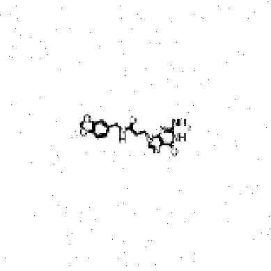 Nc1nc2c(ncn2CCC(=O)NCc2ccc3c(c2)OCO3)c(=O)[nH]1